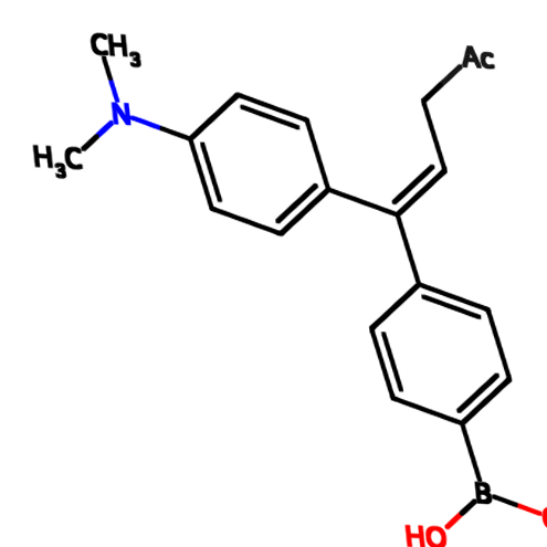 CC(=O)CC=C(c1ccc(B(O)O)cc1)c1ccc(N(C)C)cc1